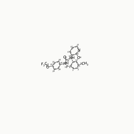 Cc1ccc(F)cc1Oc1ncccc1NC(=O)Nc1ccc(OC(F)(F)F)cc1